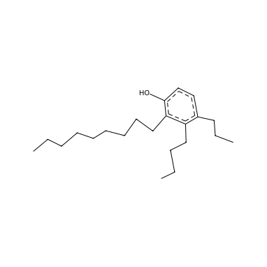 CCCCCCCCCc1c(O)ccc(CCC)c1CCCC